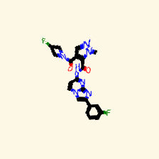 Cn1ncc(C(=O)N2CC(F)C2)c1C(=O)Nc1ccn2cc(-c3cccc(F)c3)nc2n1